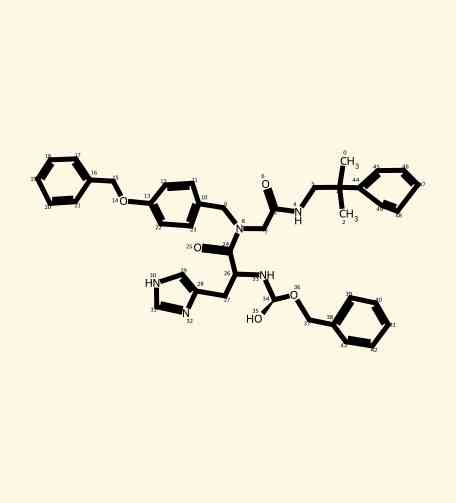 CC(C)(CNC(=O)CN(Cc1ccc(OCc2ccccc2)cc1)C(=O)C(Cc1c[nH]cn1)N[C@H](O)OCc1ccccc1)c1ccccc1